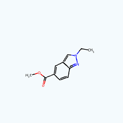 CCn1cc2cc(C(=O)OC)ccc2n1